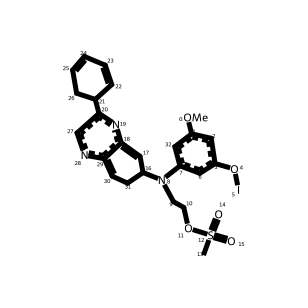 COc1cc(OI)cc(N(CCOS(C)(=O)=O)C2C=c3nc(C4C=CC=CC4)cnc3=CC2)c1